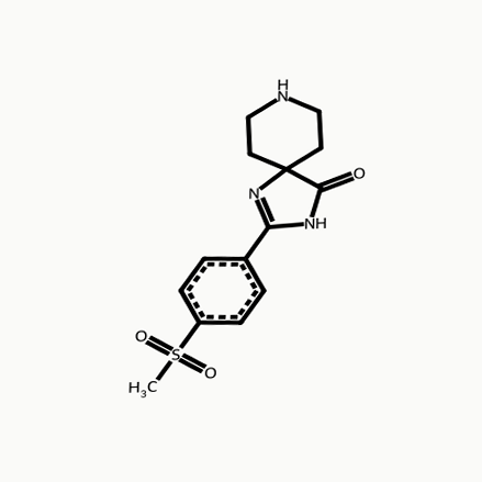 CS(=O)(=O)c1ccc(C2=NC3(CCNCC3)C(=O)N2)cc1